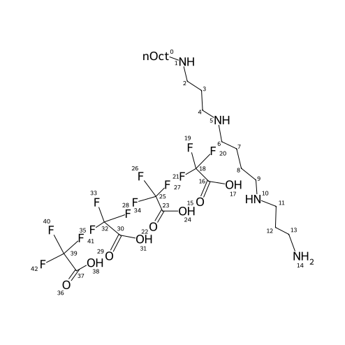 CCCCCCCCNCCCNCCCCNCCCN.O=C(O)C(F)(F)F.O=C(O)C(F)(F)F.O=C(O)C(F)(F)F.O=C(O)C(F)(F)F